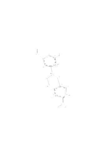 COc1cc(F)nc(N2CCc3nc(OC)ncc3C2)c1